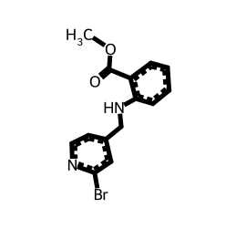 COC(=O)c1ccccc1NCc1ccnc(Br)c1